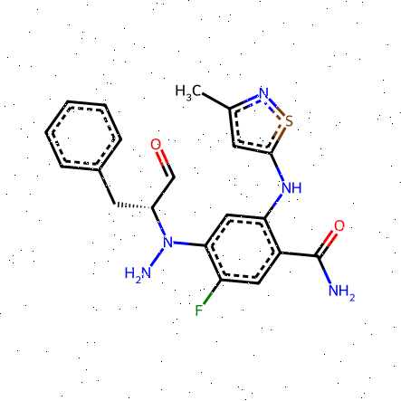 Cc1cc(Nc2cc(N(N)[C@@H](C=O)Cc3ccccc3)c(F)cc2C(N)=O)sn1